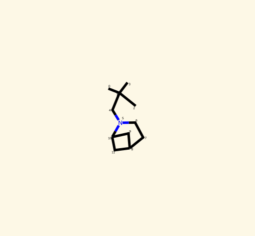 CC(C)(C)CN1CCC2CC1C2